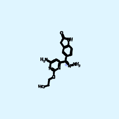 N/N=C(\c1ccc2c(c1)CC(=O)N2)c1cc(N)nc(OCCO)n1